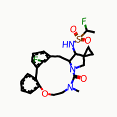 CC(F)S(=O)(=O)NC1C2Cc3cccc(c3F)-c3ccccc3OCCN(C)C(=O)N2CC12CC2